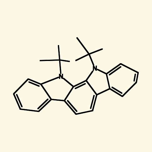 CC(C)(C)n1c2ccccc2c2ccc3c4ccccc4n(C(C)(C)C)c3c21